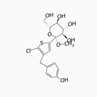 CO[C@]1(c2cc(Cc3ccc(O)cc3)c(Cl)s2)O[C@H](CO)[C@@H](O)[C@H](O)[C@H]1O